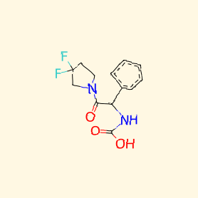 O=C(O)NC(C(=O)N1CCC(F)(F)C1)c1ccccc1